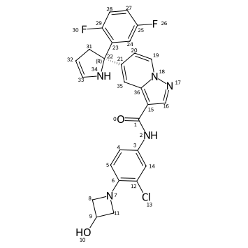 O=C(Nc1ccc(N2CC(O)C2)c(Cl)c1)c1cnn2ccc([C@@]3(c4cc(F)ccc4F)CC=CN3)cc12